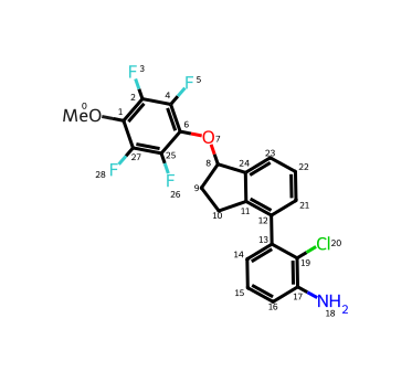 COc1c(F)c(F)c(OC2CCc3c(-c4cccc(N)c4Cl)cccc32)c(F)c1F